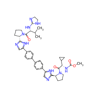 COC(=O)N[C@H](C(=O)N1CCC[C@H]1c1ncc(-c2ccc(-c3ccc(-c4cnc([C@@H]5CCCN5C(=O)[C@H](NC5=NCCN5)C(C)C)[nH]4)cc3)cc2)[nH]1)C1CC1